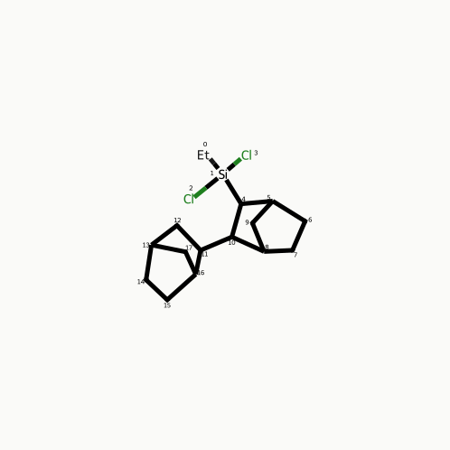 CC[Si](Cl)(Cl)C1C2CCC(C2)C1C1CC2CCC1C2